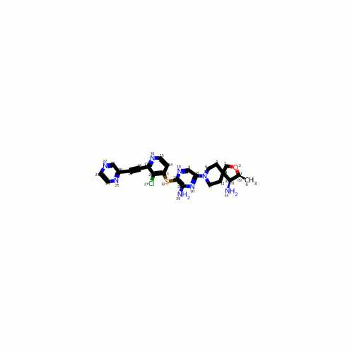 C[C@@H]1OCC2(CCN(c3cnc(Sc4ccnc(C#Cc5cnccn5)c4Cl)c(N)n3)CC2)[C@@H]1N